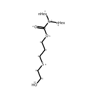 CCCCCCN(CCCCCC)C(=O)OC[CH]CSCCO